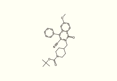 COc1ccc2c(=O)n(CC3CCN(C(=O)OC(C)(C)C)CC3)c(C#N)c(-c3ccccc3)c2c1